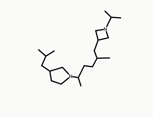 CC(C)CC1CCN(C(C)CCC(C)CC2CN(C(C)C)C2)C1